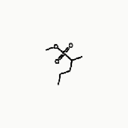 CCCC(C)S(=O)(=O)OC